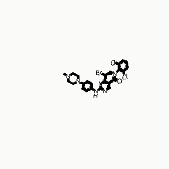 CN1CCN(c2ccc(Nc3ncc4c(=O)n(-c5c(Cl)cccc5Cl)cc(Br)c4n3)cc2)CC1